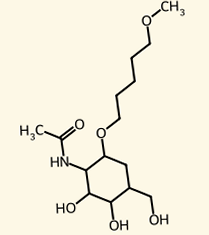 COCCCCCOC1CC(CO)C(O)C(O)C1NC(C)=O